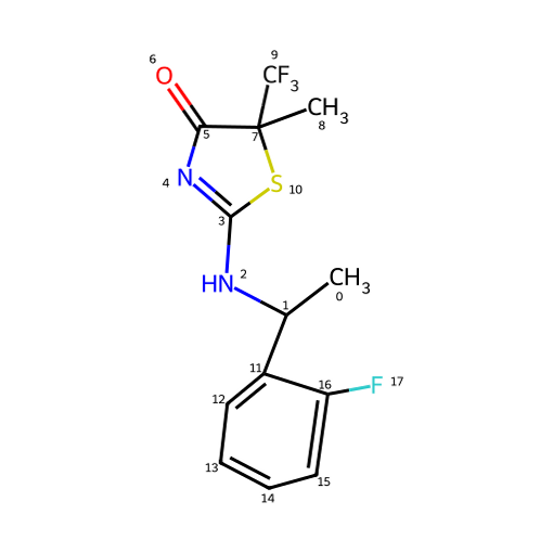 CC(NC1=NC(=O)C(C)(C(F)(F)F)S1)c1ccccc1F